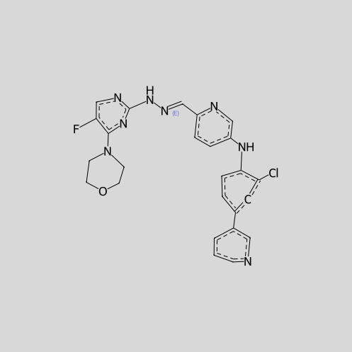 Fc1cnc(N/N=C/c2ccc(Nc3ccc(-c4cccnc4)cc3Cl)cn2)nc1N1CCOCC1